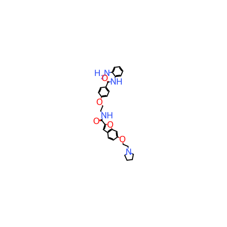 Nc1ccccc1NC(=O)c1ccc(OCCNC(=O)c2cc3ccc(OCCN4CCCC4)cc3o2)cc1